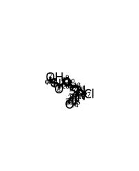 C[C@H](O)CNC(=O)c1cccc(-c2cc3nc(Cl)nc(N4CCOCC4)c3s2)c1